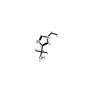 CCn1cnc(C(C)(C)O)c1